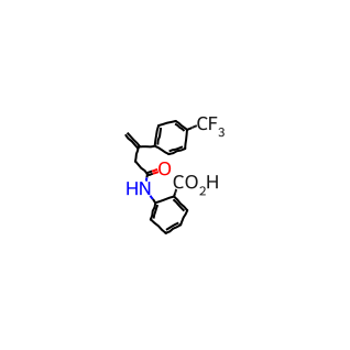 C=C(CC(=O)Nc1ccccc1C(=O)O)c1ccc(C(F)(F)F)cc1